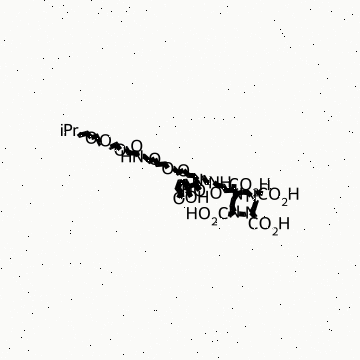 CC(C)CCOCCOCCOCCC(=O)NCCOCCOCCOCCN(CCNC(=O)CCC(C(=O)O)N1CCN(CC(=O)O)CCN(CC(=O)O)CCN(CC(=O)O)CC1)C(=O)c1cccc(=O)n1O